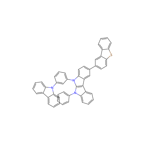 c1ccc(-n2c3ccccc3c3c4cc(-c5ccc6sc7ccccc7c6c5)ccc4n(-c4cccc(-n5c6ccccc6c6ccccc65)c4)c32)cc1